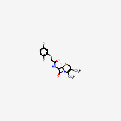 O=C(CSc1cc(Cl)ccc1Cl)NC1C(=O)N2C(C(=O)O)=C(C(=O)O)CS[C@H]12